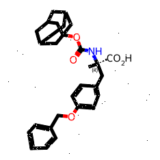 C[C@](Cc1ccc(OCc2ccccc2)cc1)(NC(=O)OC12CC3CC(CC(C3)C1)C2)C(=O)O